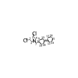 ClCCN(CCCl)Cc1ccc(-c2ccccc2)cc1